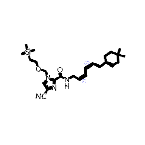 CC1(C)CC=C(C/C=C\C=C/CNC(=O)c2nc(C#N)cn2COCC[Si](C)(C)C)CC1